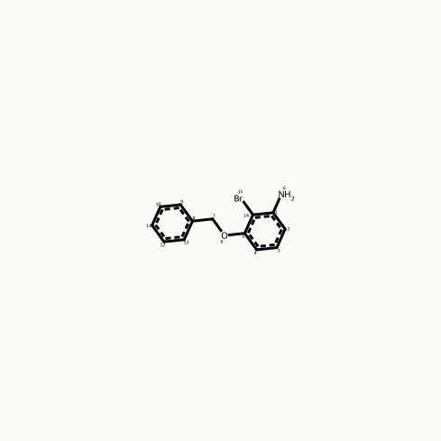 Nc1cccc(OCc2ccccc2)c1Br